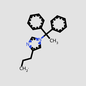 [CH2]CCc1cn(C(C)(c2ccccc2)c2ccccc2)cn1